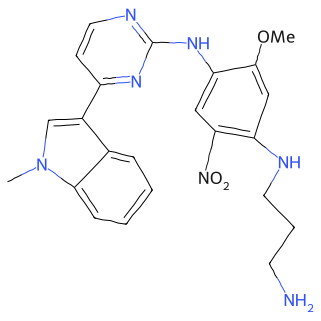 COc1cc(NCCCN)c([N+](=O)[O-])cc1Nc1nccc(-c2cn(C)c3ccccc23)n1